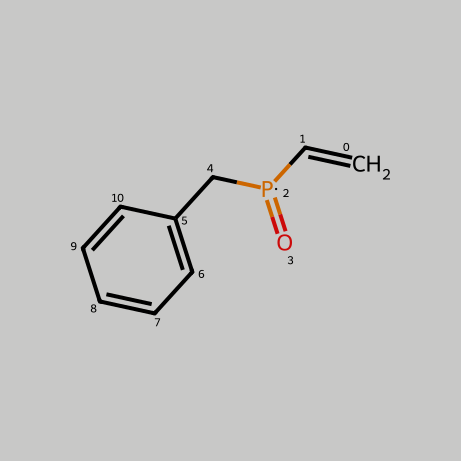 C=C[P](=O)Cc1ccccc1